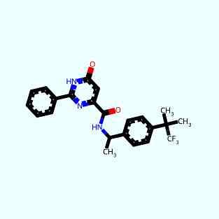 CC(NC(=O)c1cc(=O)[nH]c(-c2ccccc2)n1)c1ccc(C(C)(C)C(F)(F)F)cc1